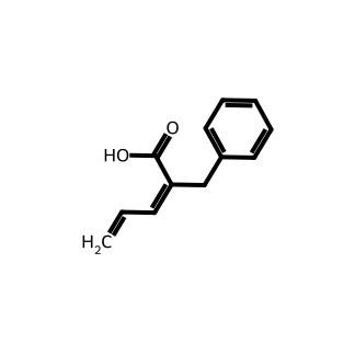 C=CC=C(Cc1ccccc1)C(=O)O